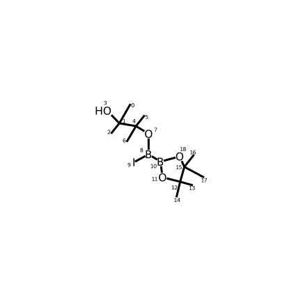 CC(C)(O)C(C)(C)OB(I)B1OC(C)(C)C(C)(C)O1